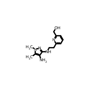 Cc1c(N)c(NCCc2cccc(CO)n2)nn1C